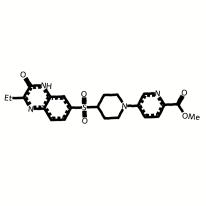 CCc1nc2ccc(S(=O)(=O)C3CCN(c4ccc(C(=O)OC)nc4)CC3)cc2[nH]c1=O